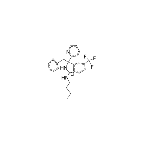 CCCCNC(=O)NC(Cc1ccccc1)(c1cccc(C(F)(F)F)c1)c1ccccn1